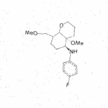 COCC1CC[C@H](Nc2ccc(F)cc2)[C@]2(OC)CCCOC12